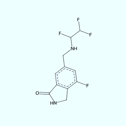 O=C1NCc2c(F)cc(CNC(F)C(F)F)cc21